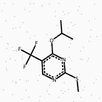 CSc1ncc(C(F)(F)F)c(OC(C)C)n1